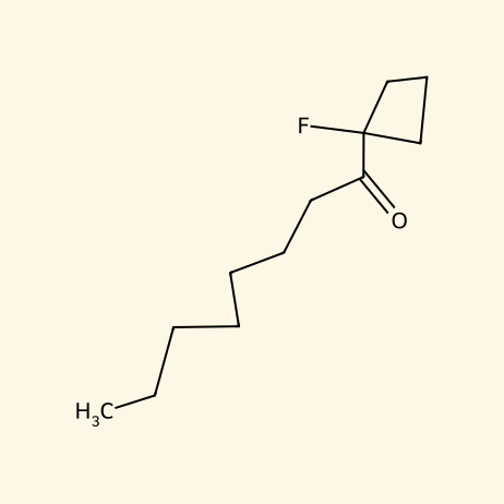 CCCCCCCC(=O)C1(F)CCC1